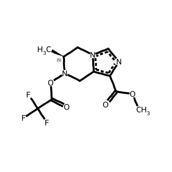 COC(=O)c1ncn2c1CN(OC(=O)C(F)(F)F)[C@@H](C)C2